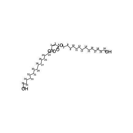 O=C(/C=C\C(=O)OCCCCCCCCCCCCCCO)OCCCCCCCCCCCCCCO